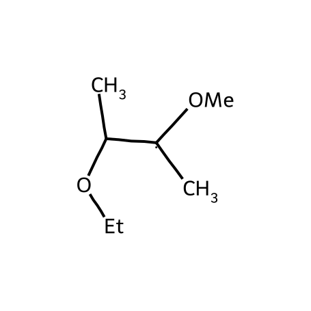 CCOC(C)[C](C)OC